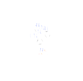 Cc1cc(C)cc(Nc2ncc(C)c(Nc3ccc4c(c3)CCN(S(=O)(=O)C3CC3)C4)n2)c1